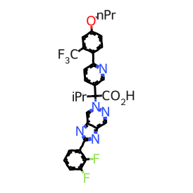 CCCOc1ccc(-c2ccc(C(C(=O)O)(C(C)C)n3cc4nc(-c5cccc(F)c5F)nc-4cn3)cn2)c(C(F)(F)F)c1